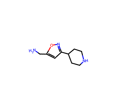 NCc1cc(C2CCNCC2)no1